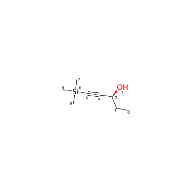 CC[C@H](O)C#C[Si](C)(C)C